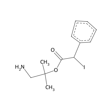 CC(C)(CN)OC(=O)C(I)c1ccccc1